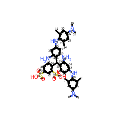 Cc1cc(N(C)C)cc(C)c1Nc1ccc(C(c2ccc(Nc3c(C)cc(N(C)C)cc3C)cc2N)c2ccc(S(=O)(=O)O)cc2S(=O)(=O)O)c(N)c1